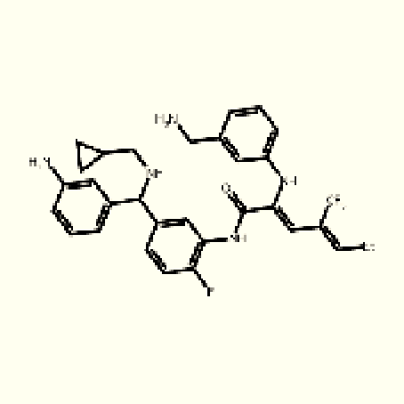 CC/C=C(/C=C(\Nc1cccc(CN)c1)C(=O)Nc1cc(C(NCC2CC2)c2cccc(N)c2)ccc1F)C(F)(F)F